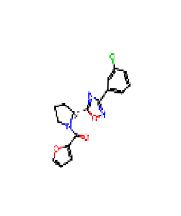 O=C(c1ccco1)N1CCC[C@@H]1c1nc(-c2cccc(Cl)c2)no1